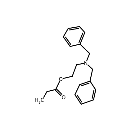 CCC(=O)OCCN(Cc1ccccc1)Cc1ccccc1